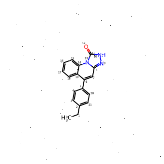 CCc1ccc(-c2cc3n[nH]c(=O)n3c3ccccc23)cc1